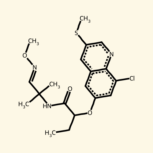 CCC(Oc1cc(Cl)c2ncc(SC)cc2c1)C(=O)NC(C)(C)C=NOC